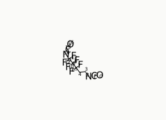 O=C=NCCC(F)(F)C(F)(F)C(F)(F)N=C=O